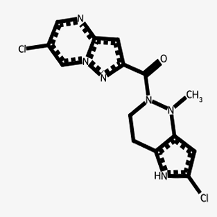 CN1c2cc(Cl)[nH]c2CCN1C(=O)c1cc2ncc(Cl)cn2n1